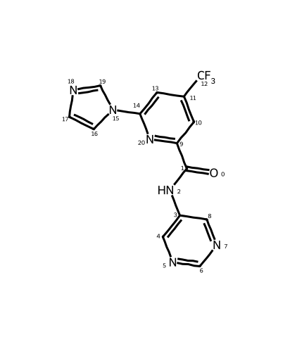 O=C(Nc1cncnc1)c1cc(C(F)(F)F)cc(-n2ccnc2)n1